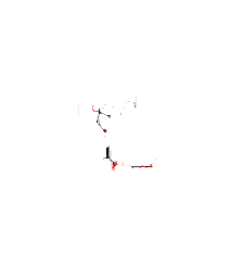 CC(=COC(=O)CC(O)(CC(=O)O)C(=O)O)C(=O)OCC1CO1